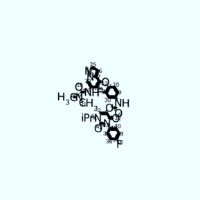 CC(C)n1cc(OC(=O)Nc2ccc(Oc3cc(NC(=O)N(C)C)cn4nccc34)c(F)c2)c(=O)n(-c2ccc(F)cc2)c1=O